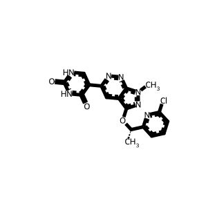 C[C@H](Oc1nn(C)c2nnc(-c3c[nH]c(=O)[nH]c3=O)cc12)c1cccc(Cl)n1